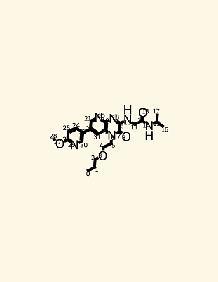 CCCOCCn1c(=O)c(NCC(=O)NC(C)C)nc2ncc(-c3ccc(OC)nc3)cc21